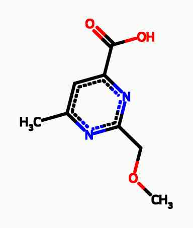 COCc1nc(C)cc(C(=O)O)n1